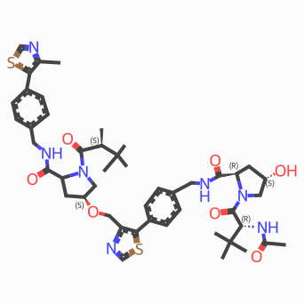 CC(=O)N[C@@H](C(=O)N1C[C@@H](O)C[C@@H]1C(=O)NCc1ccc(-c2scnc2CO[C@H]2CC(C(=O)NCc3ccc(-c4scnc4C)cc3)N(C(=O)[C@@H](C)C(C)(C)C)C2)cc1)C(C)(C)C